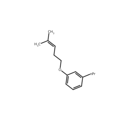 CCCc1cccc(OCCC=C(C)C)c1